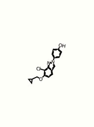 Oc1ccc(-n2cc3ccc(OCC4CC4)c(Cl)c3n2)cc1